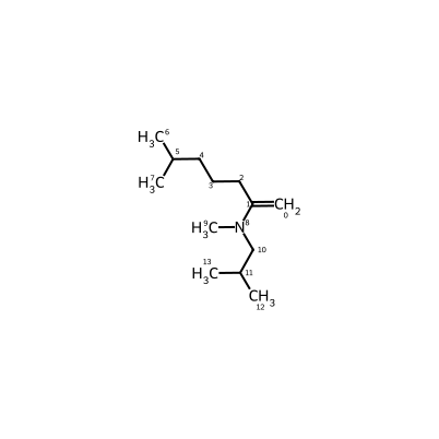 C=C(CCCC(C)C)N(C)CC(C)C